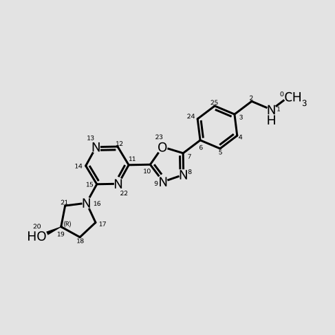 CNCc1ccc(-c2nnc(-c3cncc(N4CC[C@@H](O)C4)n3)o2)cc1